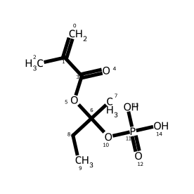 C=C(C)C(=O)OC(C)(CC)OP(=O)(O)O